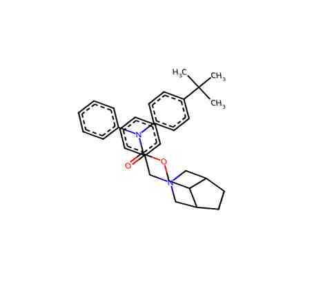 CC(C)(C)c1ccc(N(C(=O)OCC2C3CCC2CN(Cc2ccccc2)C3)c2ccccc2)cc1